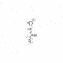 CC/C(C(=N)/C(C)=C/NCc1cncc(Cl)c1)=C(/C)ONC